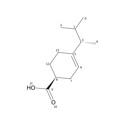 CC(C)[C@H](C)C1=CC[C@@H](C(=O)O)CC1